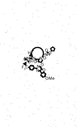 COc1ccc2c(c1)oc1c(O[C@@H]3C[C@H]4C(=O)N[C@]5(C(=O)NS(=O)(=O)C6CC6)C[C@H]5/C=C\CCCCC[C@H](NC(=O)OC5CCCC5)C(=O)N4C3)nc(-c3ccc(C(F)(F)F)cc3)nc12